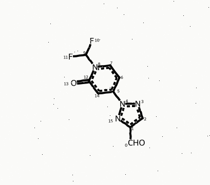 O=Cc1cnn(-c2ccn(C(F)F)c(=O)c2)n1